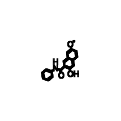 COc1ccc2cc(O)c(C(=O)Nc3ccccc3)cc2c1